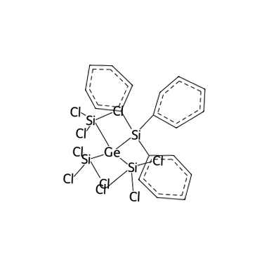 Cl[Si](Cl)(Cl)[Ge]([Si](Cl)(Cl)Cl)([Si](Cl)(Cl)Cl)[Si](c1ccccc1)(c1ccccc1)c1ccccc1